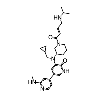 CNc1cc(-c2c[nH]c(=O)c(N(CC3CC3)[C@H]3CCCN(C(=O)C=CCNC(C)C)C3)c2)ccn1